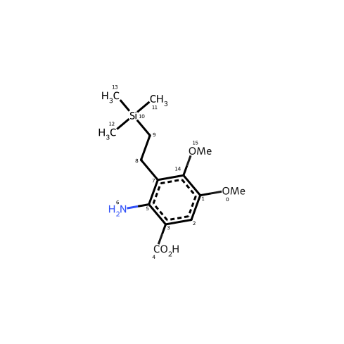 COc1cc(C(=O)O)c(N)c(CC[Si](C)(C)C)c1OC